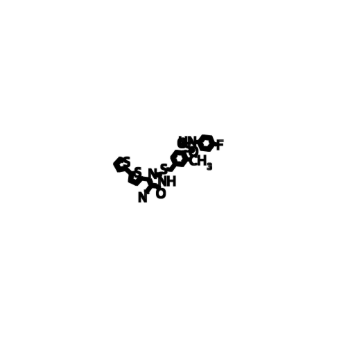 Cc1cc(CSc2nc(-c3ccc(-c4cccs4)s3)c(C#N)c(=O)[nH]2)ccc1S(=O)(=O)Nc1ccc(F)cc1